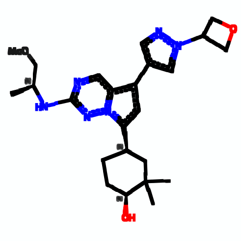 COC[C@H](C)Nc1ncc2c(-c3cnn(C4COC4)c3)cc([C@@H]3CC[C@H](O)C(C)(C)C3)n2n1